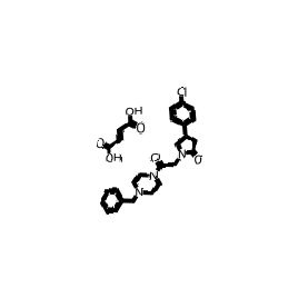 O=C(CN1CC(c2ccc(Cl)cc2)CC1=O)N1CCN(Cc2ccccc2)CC1.O=C(O)C=CC(=O)O